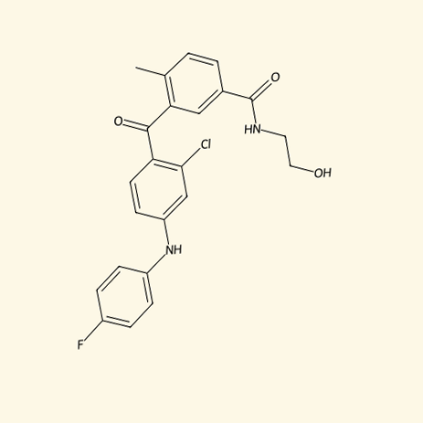 Cc1ccc(C(=O)NCCO)cc1C(=O)c1ccc(Nc2ccc(F)cc2)cc1Cl